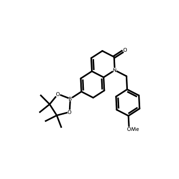 COc1ccc(CN2C(=O)CC=C3C=C(B4OC(C)(C)C(C)(C)O4)CC=C32)cc1